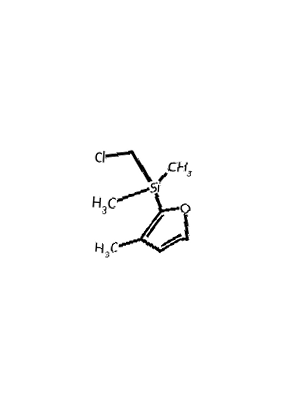 Cc1ccoc1[Si](C)(C)CCl